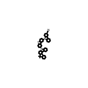 CC1(C)c2ccccc2-c2c1ccc1c2c2ccccc2n1-c1ccc2sc3ccc(-n4c5ccccc5c5cc(C#N)ccc54)cc3c2c1